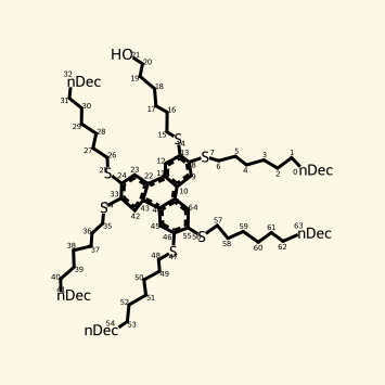 CCCCCCCCCCCCCCCCSc1cc2c(cc1SCCCCCCO)c1cc(SCCCCCCCCCCCCCCCC)c(SCCCCCCCCCCCCCCCC)cc1c1cc(SCCCCCCCCCCCCCCCC)c(SCCCCCCCCCCCCCCCC)cc21